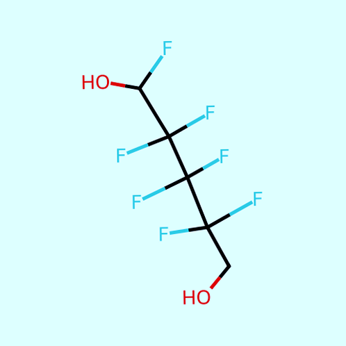 OCC(F)(F)C(F)(F)C(F)(F)C(O)F